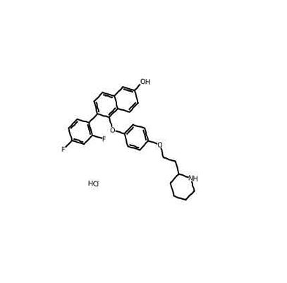 Cl.Oc1ccc2c(Oc3ccc(OCCC4CCCCN4)cc3)c(-c3ccc(F)cc3F)ccc2c1